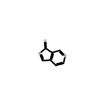 O=C1N=Cc2ccncc21